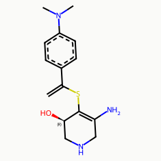 C=C(SC1=C(N)CNC[C@H]1O)c1ccc(N(C)C)cc1